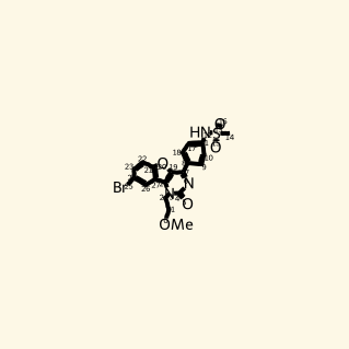 COCCn1c(=O)nc(-c2ccc(NS(C)(=O)=O)cc2)c2oc3ccc(Br)cc3c21